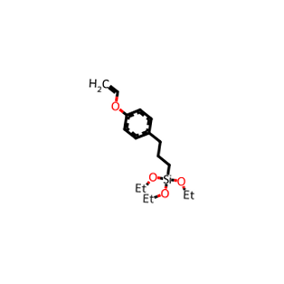 C=COc1ccc(CCC[Si](OCC)(OCC)OCC)cc1